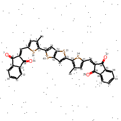 Cc1cc(C=C2C(=O)c3ccccc3C2=O)sc1-c1cc2sc(-c3sc(C=C4C(=O)c5ccccc5C4=O)cc3C)cc2s1